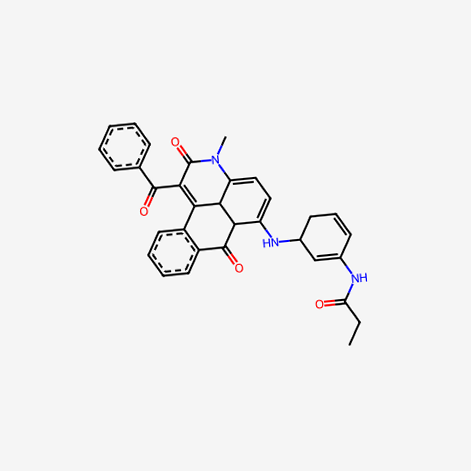 CCC(=O)NC1=CC(NC2=CC=C3C4C(=C(C(=O)c5ccccc5)C(=O)N3C)c3ccccc3C(=O)C24)CC=C1